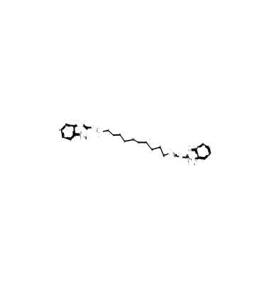 c1ccc2sc(SSCCCCCCCCCCSSc3nc4ccccc4s3)nc2c1